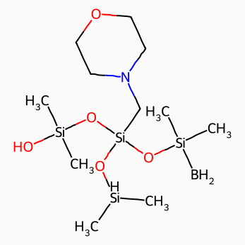 B[Si](C)(C)O[Si](CN1CCOCC1)(O[SiH](C)C)O[Si](C)(C)O